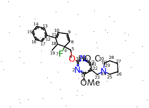 COc1nc(OCC2(F)C=CC=C(c3ccccc3)C2C)ncc1CN1CCCC[C@H]1C(=O)O